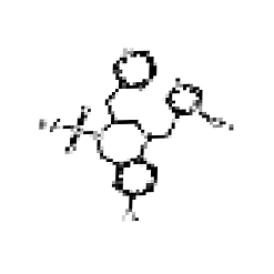 Cn1cncc1CN1CC(Cc2cccnc2)N(S(C)(=O)=O)Cc2cc(C#N)ccc21